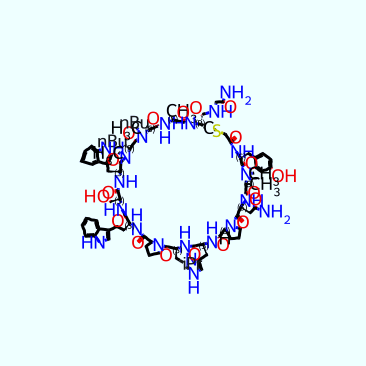 CCCC[C@H]1C(=O)N(C)[C@@H](CCCC)C(=O)N[C@@H](C)C(=O)N[C@H](C(=O)NCC(N)=O)CSCC(=O)N[C@@H](Cc2ccc(O)cc2)C(=O)N(C)[C@@H](C)C(=O)N[C@@H](CC(N)=O)C(=O)N2CCC[C@H]2C(=O)N[C@@H](Cc2c[nH]cn2)C(=O)N[C@@H](CC(C)C)C(=O)N2CCCC2C(=O)N[C@@H](CCc2c[nH]c3ccccc23)C(=O)N[C@@H](CO)C(=O)N[C@@H](Cc2c[nH]c3ccccc23)C(=O)N1C